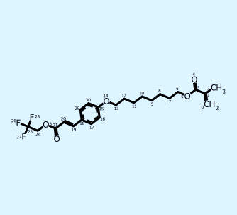 C=C(C)C(=O)OCCCCCCCCOc1ccc(/C=C/C(=O)OCC(F)(F)F)cc1